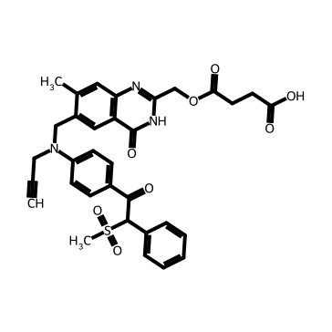 C#CCN(Cc1cc2c(=O)[nH]c(COC(=O)CCC(=O)O)nc2cc1C)c1ccc(C(=O)C(c2ccccc2)S(C)(=O)=O)cc1